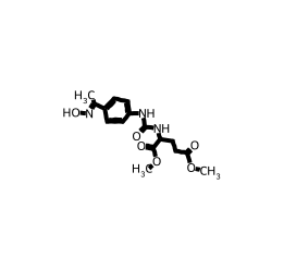 COC(=O)CCC(NC(=O)Nc1ccc(C(C)=NO)cc1)C(=O)OC